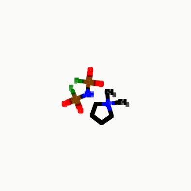 C[N+]1(C)CCCC1.O=S(=O)(F)NS(=O)(=O)F